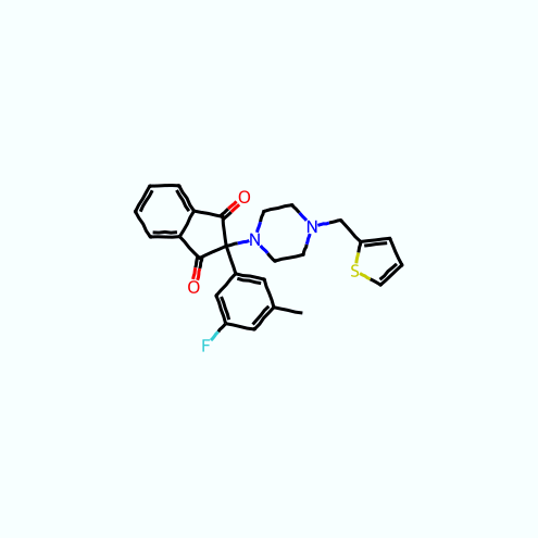 Cc1cc(F)cc(C2(N3CCN(Cc4cccs4)CC3)C(=O)c3ccccc3C2=O)c1